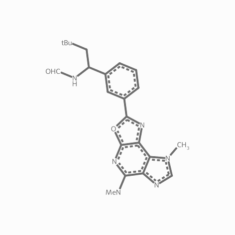 CNc1nc2oc(-c3cccc(C(CC(C)(C)C)NC=O)c3)nc2c2c1ncn2C